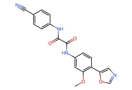 COc1cc(NC(=O)C(=O)Nc2ccc(C#N)cc2)ccc1-c1cnco1